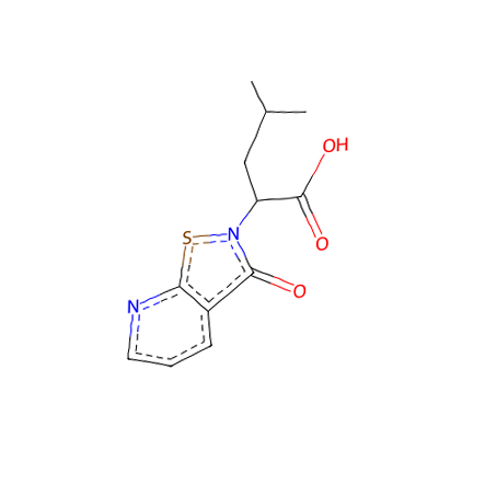 CC(C)CC(C(=O)O)n1sc2ncccc2c1=O